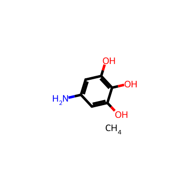 C.Nc1cc(O)c(O)c(O)c1